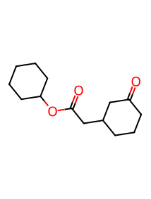 O=C1CCCC(CC(=O)OC2CCCCC2)C1